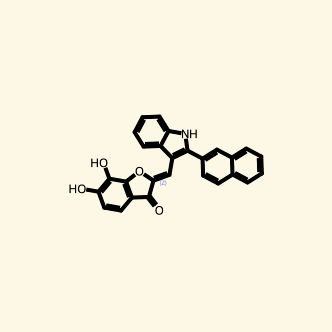 O=C1/C(=C/c2c(-c3ccc4ccccc4c3)[nH]c3ccccc23)Oc2c1ccc(O)c2O